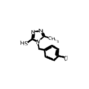 Cc1nnc(S)n1Cc1ccc(Cl)cc1